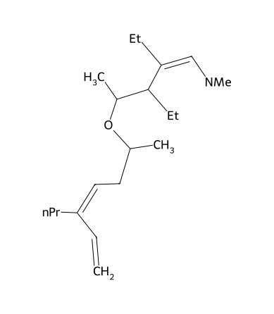 C=C/C(=C\CC(C)OC(C)C(CC)/C(=C\NC)CC)CCC